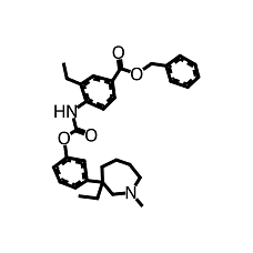 CCc1cc(C(=O)OCc2ccccc2)ccc1NC(=O)Oc1cccc(C2(CC)CCCCN(C)C2)c1